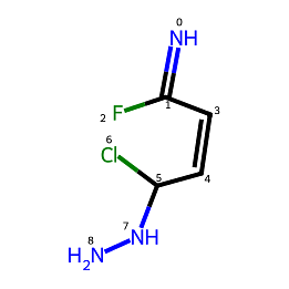 N=C(F)/C=C\C(Cl)NN